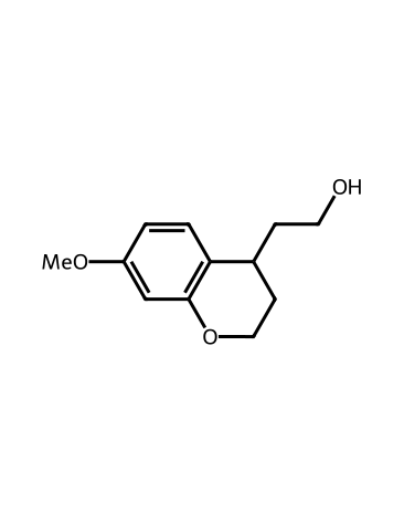 COc1ccc2c(c1)OCCC2CCO